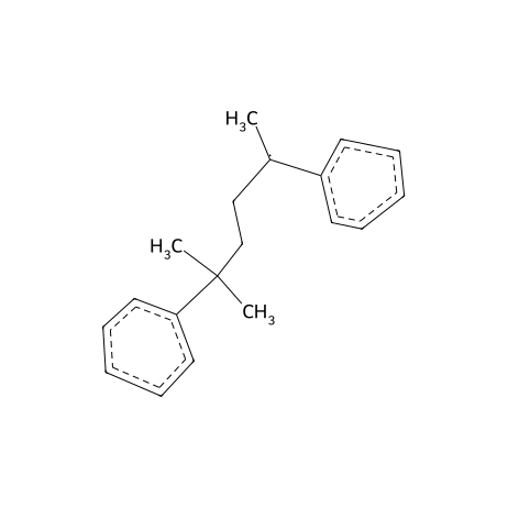 C[C](CCC(C)(C)c1ccccc1)c1ccccc1